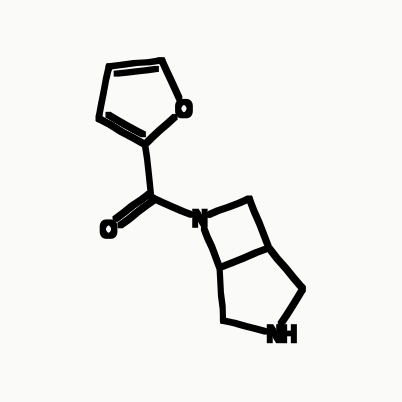 O=C(c1ccco1)N1CC2CNCC21